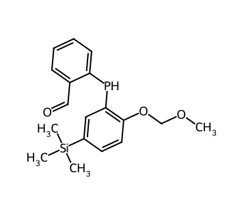 COCOc1ccc([Si](C)(C)C)cc1Pc1ccccc1C=O